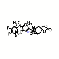 C=C(/C=C(\C)S(=O)(=O)[C@H]1C2CCC1C[C@]1(COC(=O)O1)C2)C(=O)N(C)c1cc(F)c(F)c(F)c1